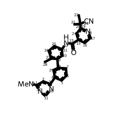 CNc1cc(-c2cccc(-c3cc(NC(=O)c4ccnc(C(C)(C)C#N)c4)ccc3C)c2)ncn1